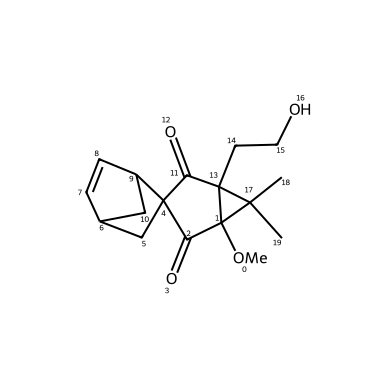 COC12C(=O)C3(CC4C=CC3C4)C(=O)C1(CCO)C2(C)C